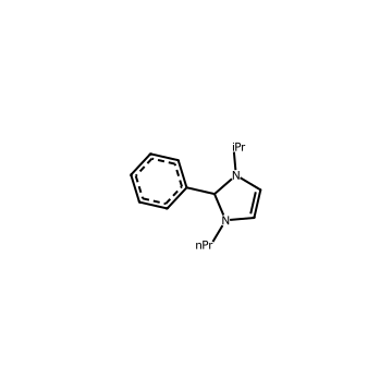 CCCN1C=CN(C(C)C)C1c1ccccc1